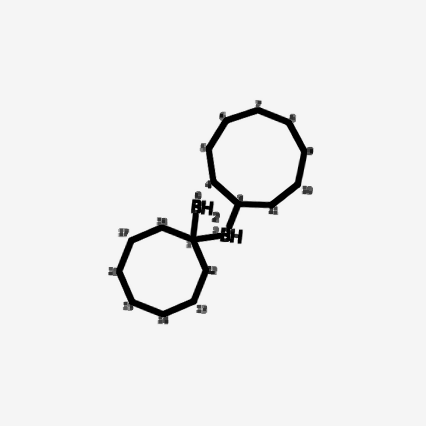 BC1(BC2CCCCCCCC2)CCCCCCC1